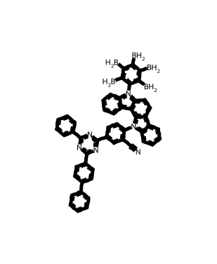 Bc1c(B)c(B)c(-n2c3ccccc3c3c2ccc2c4ccccc4n(-c4ccc(-c5nc(-c6ccccc6)nc(-c6ccc(-c7ccccc7)cc6)n5)cc4C#N)c23)c(B)c1B